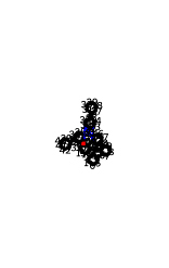 c1ccc2c(c1)-c1ccccc1C21c2ccccc2-c2c(N(c3ccc(C4CCCCC4)cc3)c3ccc(C4CCCCC4)cc3)cccc21